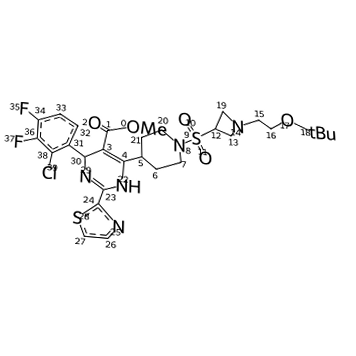 COC(=O)C1=C(C2CCN(S(=O)(=O)C3CN(CCOC(C)(C)C)C3)CC2)NC(c2nccs2)=NC1c1ccc(F)c(F)c1Cl